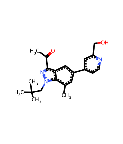 CC(=O)c1nn(CC(C)(C)C)c2c(C)cc(-c3ccnc(CO)c3)cc12